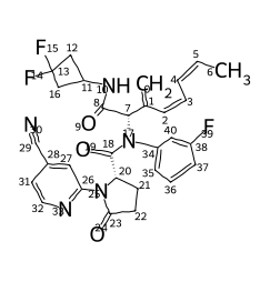 C=C(/C=C\C=C/C)[C@@H](C(=O)NC1CC(F)(F)C1)N(C(=O)[C@@H]1CCC(=O)N1c1cc(C#N)ccn1)c1cccc(F)c1